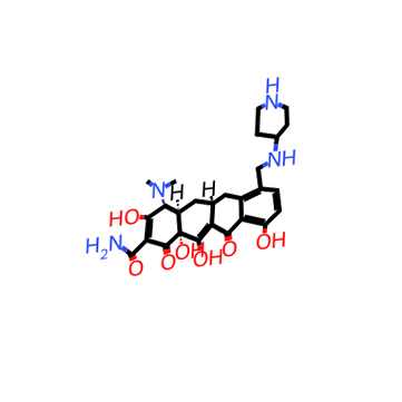 CN(C)[C@H]1C(O)=C(C(N)=O)C(=O)[C@]2(O)C(O)=C3C(=O)c4c(O)ccc(CNC5CCNCC5)c4C[C@@H]3C[C@H]12